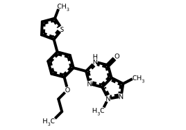 CCCOc1ccc(-c2ccc(C)s2)cc1-c1nc2c(c(C)nn2C)c(=O)[nH]1